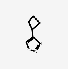 c1onnc1C1CCC1